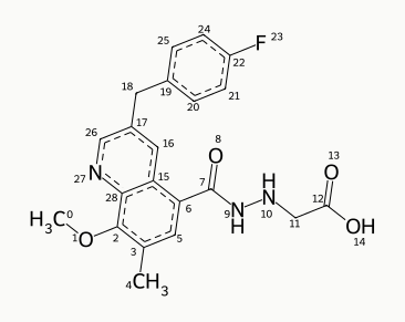 COc1c(C)cc(C(=O)NNCC(=O)O)c2cc(Cc3ccc(F)cc3)cnc12